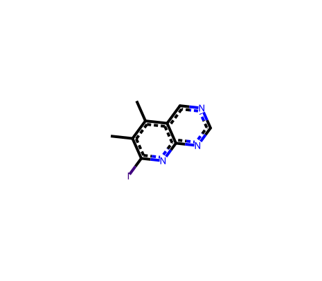 Cc1c(I)nc2ncncc2c1C